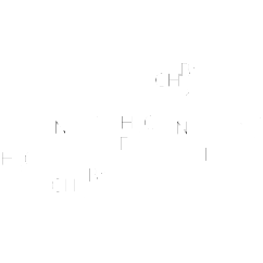 CC(C)c1ncc(C2CC2C(C)(C)c2nc(F)c(C3CC3)cc2Br)c(F)c1Br